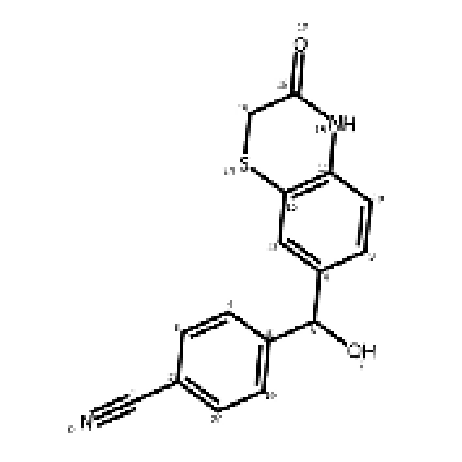 N#Cc1ccc(C(O)c2ccc3c(c2)SCC(=O)N3)cc1